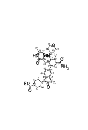 CCC(=O)N1CCC(n2c(=O)n(C)c3cc(-c4cc(C(N)=O)c(C)c(N(CC)C5CCOCC5)c4Cc4c(C)cc(C)[nH]c4=O)ccc32)CC1